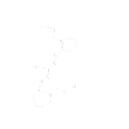 CC(/N=N/C1C=CC=CN1CCO)=N\N=c1/ccccn1CCO